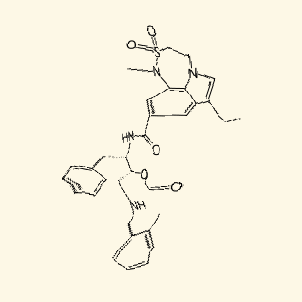 CCc1cn2c3c(cc(C(=O)N[C@@H](Cc4ccccc4)[C@@H](CNCc4ccccc4C)OC=O)cc13)N(C)S(=O)(=O)CC2